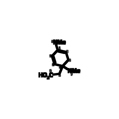 CNC1=CCC(CC(=O)O)(NC)C=C1